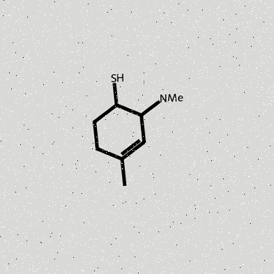 CNC1C=C(C)CCC1S